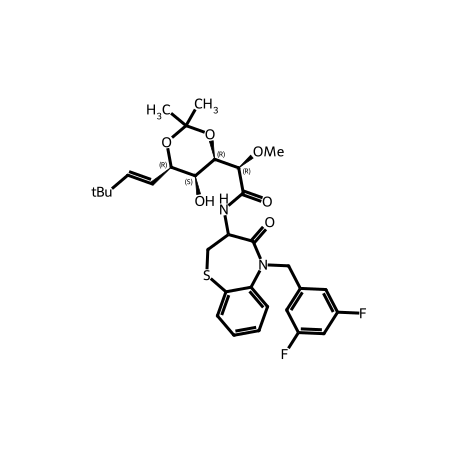 CO[C@@H](C(=O)NC1CSc2ccccc2N(Cc2cc(F)cc(F)c2)C1=O)[C@@H]1OC(C)(C)O[C@H](C=CC(C)(C)C)[C@@H]1O